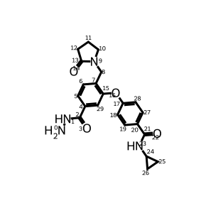 NNC(=O)c1ccc(CN2CCCC2=O)c(Oc2ccc(C(=O)NC3CC3)cc2)c1